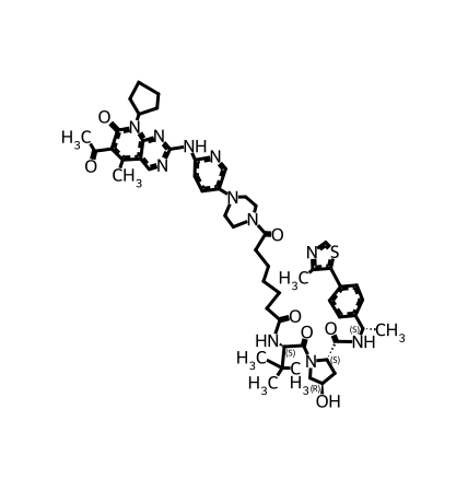 CC(=O)c1c(C)c2cnc(Nc3ccc(N4CCN(C(=O)CCCCCC(=O)N[C@H](C(=O)N5C[C@H](O)C[C@H]5C(=O)N[C@@H](C)c5ccc(-c6scnc6C)cc5)C(C)(C)C)CC4)cn3)nc2n(C2CCCC2)c1=O